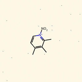 Cc1cc[n+]([N+](=O)[O-])c(C)c1C